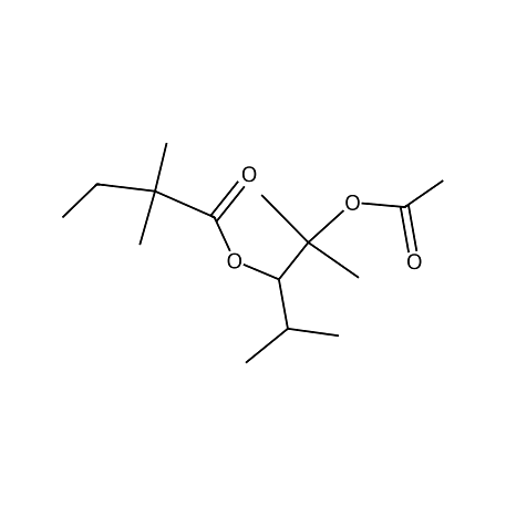 CCC(C)(C)C(=O)OC(C(C)C)C(C)(C)OC(C)=O